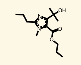 CCCOC(=O)c1c(C(C)(C)O)nc(CCC)n1C